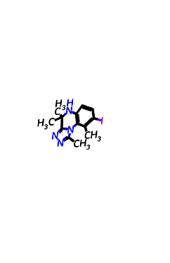 Cc1c(I)ccc2c1-n1c(C)nnc1C(C)(C)N2